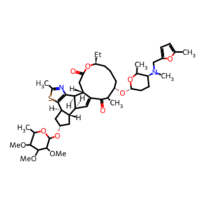 CC[C@H]1CCC[C@H](O[C@H]2CC[C@H](N(C)Cc3ccc(C)o3)C(C)O2)[C@@H](C)C(=O)C2=C[C@H]3[C@@H]4C[C@H](OC5OC(C)C(OC)C(OC)C5OC)C[C@H]4c4sc(C)nc4[C@H]3[C@@H]2CC(=O)O1